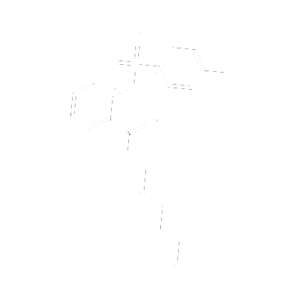 CCCCCCOC(=O)c1ccccc1SS(=O)(=O)c1ccc(C)cc1